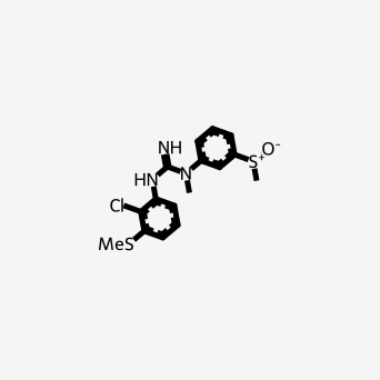 CSc1cccc(NC(=N)N(C)c2cccc([S+](C)[O-])c2)c1Cl